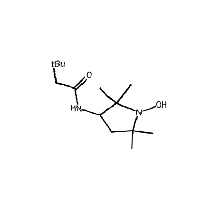 CC(C)(C)CC(=O)NC1CC(C)(C)N(O)C1(C)C